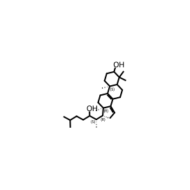 CC(C)CCC(O)[C@@H](C)[C@H]1CC=C2C3=C(CC[C@@]21C)[C@@]1(C)CCC(O)C(C)(C)C1CC3